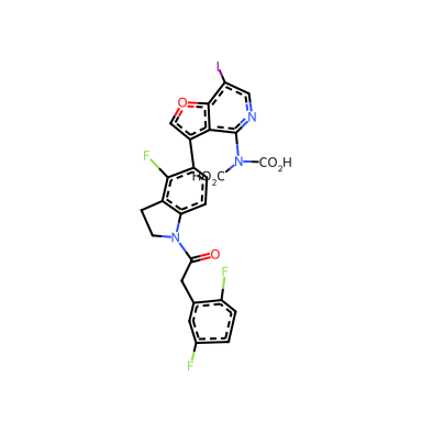 O=C(Cc1cc(F)ccc1F)N1CCc2c1ccc(-c1coc3c(I)cnc(N(C(=O)O)C(=O)O)c13)c2F